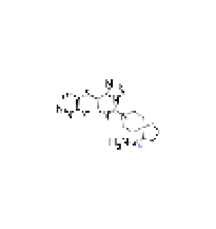 N/C=C1/CCCC12CCN(c1ncc(Sc3ccnnc3Cl)c3nccn13)CC2